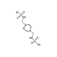 CC(C)S(=O)(=O)NCc1ccc(CNS(=O)(=O)C(C)C)cc1